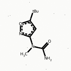 CN(C(N)=O)c1cc(C(C)(C)C)on1